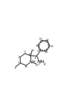 CC1CCC(C)(C(N)c2ccccc2)N(C)C1